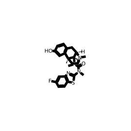 CN(C(=O)N(C)[C@@H]1[C@H]2Cc3ccc(O)cc3[C@]1(C)CCN2C)c1nc2cc(F)ccc2s1